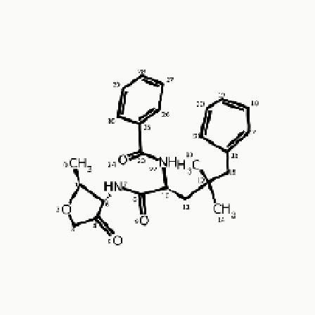 C[C@@H]1OCC(=O)[C@H]1NC(=O)[C@H](CC(C)(C)Cc1ccccc1)NC(=O)c1ccccc1